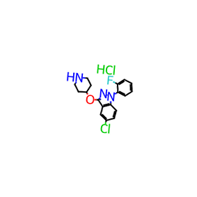 Cl.Fc1ccccc1-n1nc(OC2CCNCC2)c2cc(Cl)ccc21